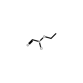 CCON(Cl)C=O